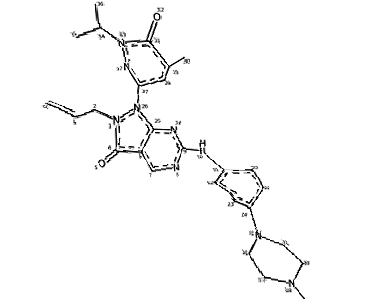 C=CCn1c(=O)c2cnc(Nc3ccc(N4CCN(C)CC4)cc3)nc2n1-c1cc(C)c(=O)n(C(C)C)n1